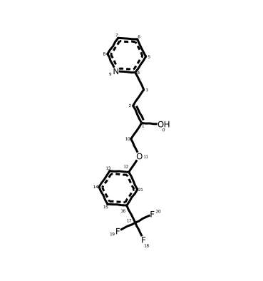 OC(=CCc1ccccn1)COc1cccc(C(F)(F)F)c1